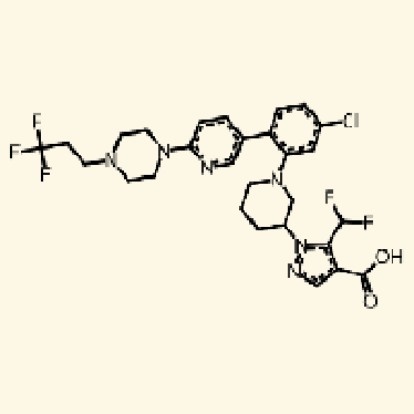 O=C(O)c1cnn(C2CCCN(c3cc(Cl)ccc3-c3ccc(N4CCN(CCC(F)(F)F)CC4)nc3)C2)c1C(F)F